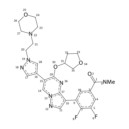 CNC(=O)c1cc(F)c(F)c(-c2cnn3cc(-c4cnn(CCN5CCOCC5)c4)c(OC4CCOC4)nc23)c1